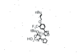 CCCCC=CCOc1ccc(-c2noc([C@@H]3CCCN3/C(=N/C(=O)O)NC(=O)OC(C)(C)C)n2)cc1C(F)(F)F